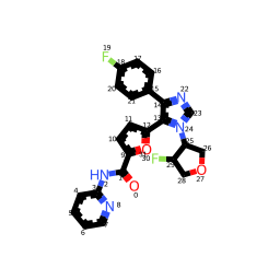 O=C(Nc1ccccn1)c1ccc(-c2c(-c3ccc(F)cc3)ncn2C2COCC2F)o1